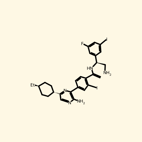 C=C(N[C@H](CN)c1cc(F)cc(I)c1)c1ccc(-c2nc([C@H]3CC[C@H](CC)CC3)cnc2N)cc1I